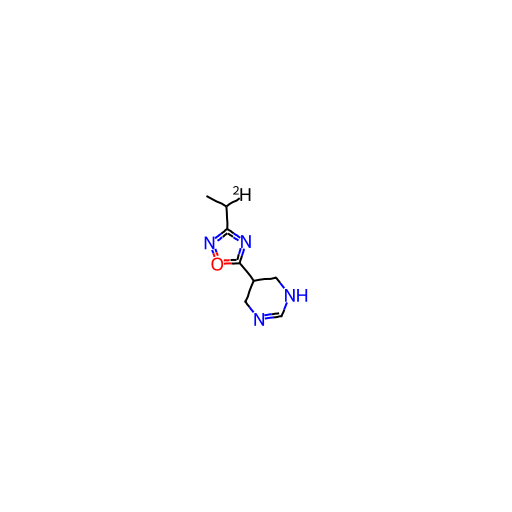 [2H]C(C)c1noc(C2CN=CNC2)n1